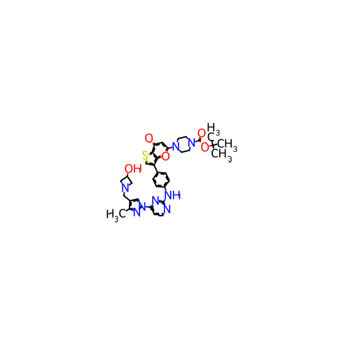 Cc1nn(-c2ccnc(Nc3ccc(-c4csc5c(=O)cc(N6CCN(C(=O)OC(C)(C)C)CC6)oc45)cc3)n2)cc1CN1CC(O)C1